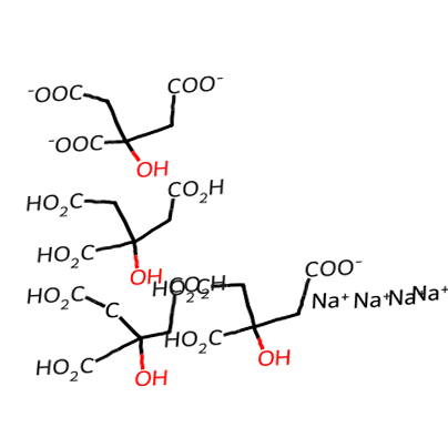 O=C(O)CC(O)(CC(=O)O)C(=O)O.O=C(O)CC(O)(CC(=O)O)C(=O)O.O=C([O-])CC(O)(CC(=O)O)C(=O)O.O=C([O-])CC(O)(CC(=O)[O-])C(=O)[O-].[Na+].[Na+].[Na+].[Na+]